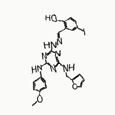 COc1ccc(Nc2nc(NCc3ccco3)nc(N/N=C/c3cc(I)ccc3O)n2)cc1